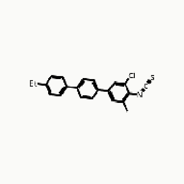 CCc1ccc(-c2ccc(-c3cc(C)c(N=C=S)c(Cl)c3)cc2)cc1